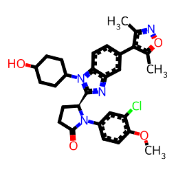 COc1ccc(N2C(=O)CC[C@H]2c2nc3cc(-c4c(C)noc4C)ccc3n2C2CCC(O)CC2)cc1Cl